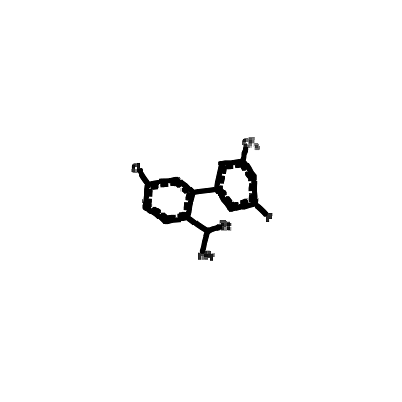 CCCC(CC)c1ccc(Cl)cc1-c1cc(F)cc(C(F)(F)F)c1